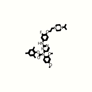 COc1ccc(N(C(=O)Oc2c(C)cc(C)cc2C)c2ccnc(Nc3ccc(OCCN4CCN(C(C)C)CC4)c(F)c3)n2)c(OC)c1